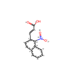 O=C(O)C=Cc1ccc2ccccc2c1[N+](=O)[O-]